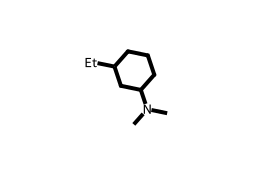 CCC1CCCC(N(C)C)C1